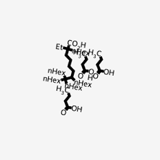 CCCC(=O)O.CCCC(=O)O.CCCC(=O)O.CCCCCCC(CCCCC(CC)(CCCCCC)C(=O)O)C(CCCCCC)(CCCCCC)CCCCCC